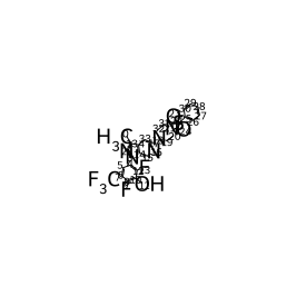 Cc1nn(-c2cc(C(F)(F)F)c(F)c(O)c2F)c2cnc(N3CCN(S(=O)(=O)c4ccccc4)CC3)cc12